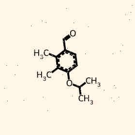 Cc1c(C=O)ccc(OC(C)C)c1C